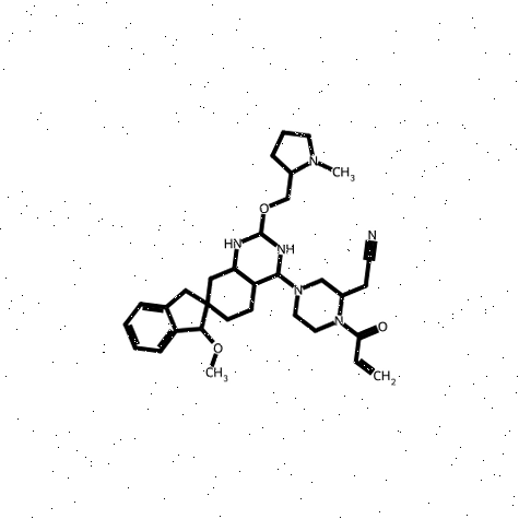 C=CC(=O)N1CCN(C2NC(OCC3CCCN3C)NC3CC4(CCC32)Cc2ccccc2C4OC)CC1CC#N